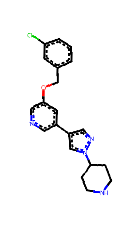 Clc1cccc(COc2cncc(-c3cnn(C4CCNCC4)c3)c2)c1